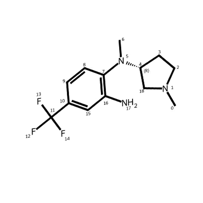 CN1CC[C@@H](N(C)c2ccc(C(F)(F)F)cc2N)C1